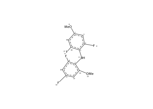 COc1cc(F)c(Bc2c(F)cc(F)cc2OC)c(F)c1